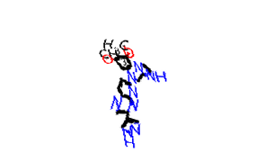 COc1cc(OC)cc(N(Cc2ncc[nH]2)c2ccc3ncc(-c4cn[nH]c4)nc3n2)c1